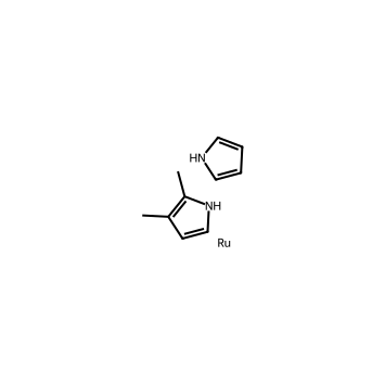 Cc1cc[nH]c1C.[Ru].c1cc[nH]c1